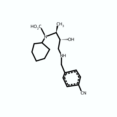 C[C@@H]([C@H](O)CNCc1ccc(C#N)cc1)N(C(=O)O)C1CCCCC1